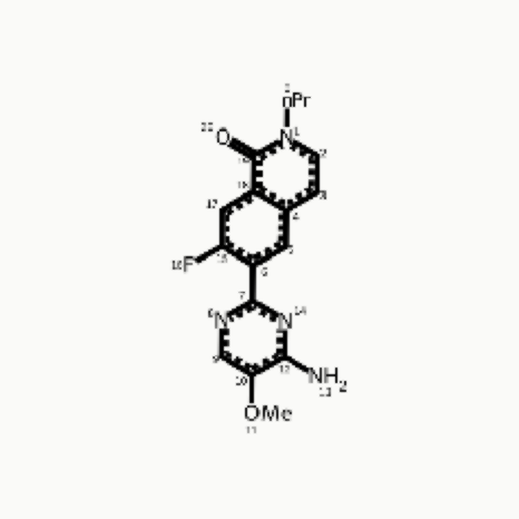 CCCn1ccc2cc(-c3ncc(OC)c(N)n3)c(F)cc2c1=O